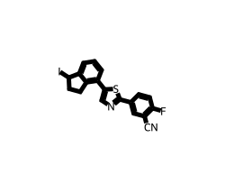 N#Cc1cc(-c2ncc(-c3cccc4c3CCC4I)s2)ccc1F